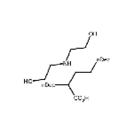 CCCCCCCCCCCCC(CCCCCCCCCC)C(=O)O.OCCNCCO